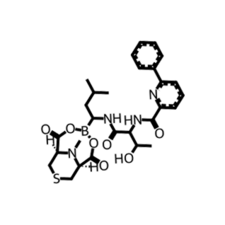 CC(C)CC(NC(=O)C(NC(=O)c1cccc(-c2ccccc2)n1)C(C)O)B1OC(=O)[C@H]2CSC[C@@H](C(=O)O1)N2C